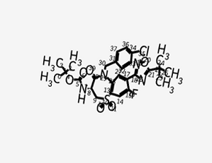 CC(C)(C)OC(=O)N[C@H]1CS(=O)(=O)c2cc(F)c(-c3noc(C(C)(C)C)n3)cc2N(Cc2ccc(Cl)cc2)C1=O